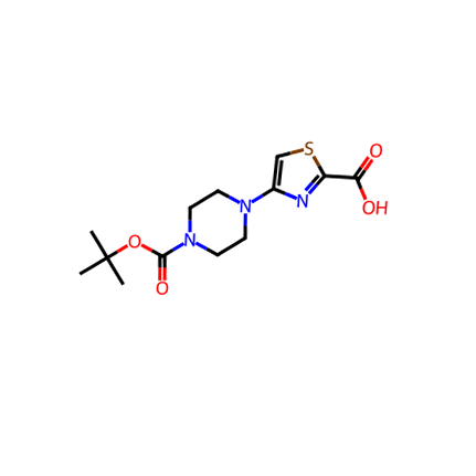 CC(C)(C)OC(=O)N1CCN(c2csc(C(=O)O)n2)CC1